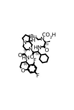 C[C@@H](C(=O)N[C@H](C(=O)N1C[C@H]2CCCN2C[C@H]1C(=O)N[C@@H]1CCOc2cc(F)cc(F)c21)C1CCCCC1)N(CC(C)(C)C)C(=O)O